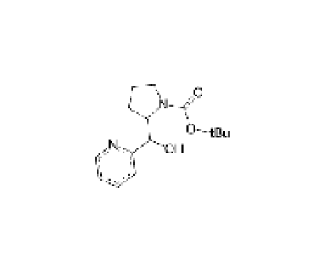 CC(C)(C)OC(=O)N1CCCC1C(O)c1ccccn1